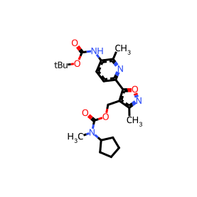 Cc1nc(-c2onc(C)c2COC(=O)N(C)C2CCCC2)ccc1NC(=O)OC(C)(C)C